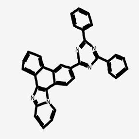 c1ccc(-c2nc(-c3ccccc3)nc(-c3ccc4c(c3)c3ccccc3c3nc5ccccn5c43)n2)cc1